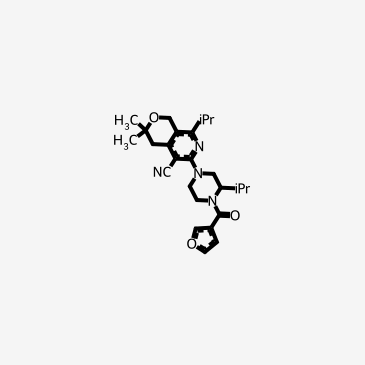 CC(C)c1nc(N2CCN(C(=O)c3ccoc3)C(C(C)C)C2)c(C#N)c2c1COC(C)(C)C2